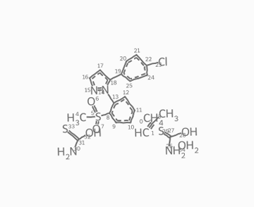 C.C#CC.CS(=O)(=O)c1ccccc1-n1nccc1-c1ccc(Cl)cc1.NC(O)=S.NC(O)=S.O